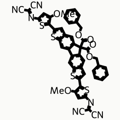 COc1cc(N=C(C#N)C#N)sc1-c1cc2cc3c(cc2s1)-c1cc2sc(-c4sc(N=C(C#N)C#N)cc4OC)cc2cc1C3(C(=O)OCc1ccccc1)C(=O)OCc1ccccc1